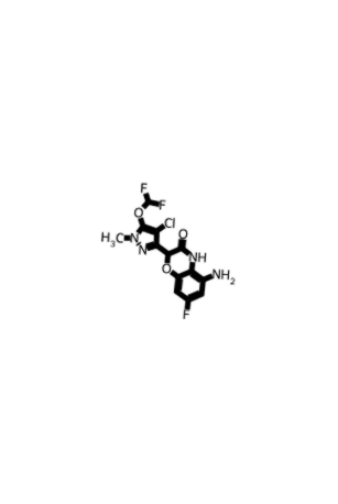 Cn1nc(C2Oc3cc(F)cc(N)c3NC2=O)c(Cl)c1OC(F)F